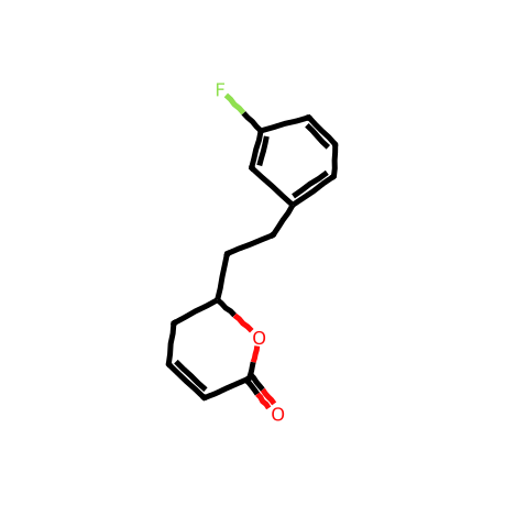 O=C1C=CCC(CCc2cccc(F)c2)O1